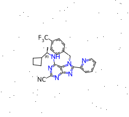 C[C@@H](Nc1nc(C#N)nc2nc(-c3ccccn3)n(Cc3ccc(C(F)(F)F)cc3)c12)C1CCC1